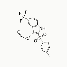 Cc1ccc(S(=O)(=O)c2[nH]c3ccc(C(F)(F)F)cc3c2[C@@H]2C[C@H]2C=O)cc1